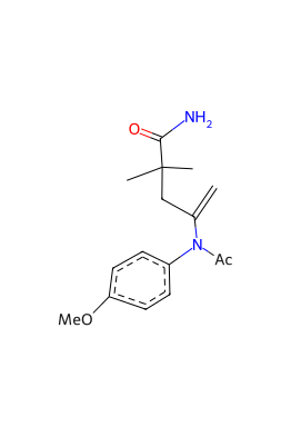 C=C(CC(C)(C)C(N)=O)N(C(C)=O)c1ccc(OC)cc1